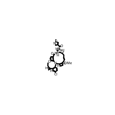 CO[C@H]1/C=C/C[C@H](C)[C@@H](NNC(=O)c2cnn(C)c2)/[SH](=O)=N\C(=O)c2ccc3c(c2)N(Cc2ccc(Cl)cc2[C@H]2C[C@H]2CCO3)C[C@@H]2CC[C@H]21